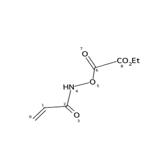 C=CC(=O)NOC(=O)C(=O)OCC